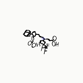 O=C(O)C=C/C(=C/CCc1ccc(C23CC4CC(CC(C4)C2)C3)c(OCC(=O)O)c1)c1cccc(C(F)(F)F)c1